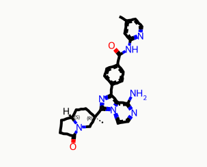 Cc1ccnc(NC(=O)c2ccc(-c3nc([C@]4(C)CC[C@H]5CCC(=O)N5C4)n4ccnc(N)c34)cc2)c1